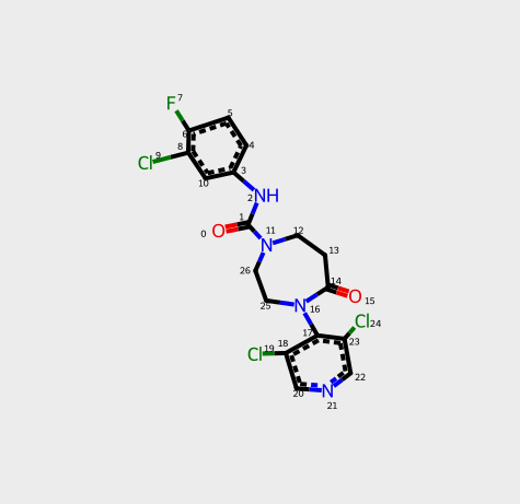 O=C(Nc1ccc(F)c(Cl)c1)N1CCC(=O)N(c2c(Cl)cncc2Cl)CC1